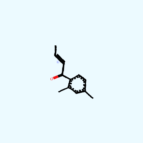 C/C=C/C(=O)c1ccc(C)cc1C